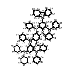 c1ccc(N2c3ccccc3B3c4cc5c(cc4N(c4ccccc4)c4cc(N(C6CCCCC6)C6CCCCC6)cc2c43)N(c2ccccc2)c2cc(-n3c4ccccc4c4ccccc43)cc3c2B5c2ccccc2N3c2ccccc2)cc1